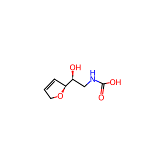 O=C(O)NC[C@H](O)[C@@H]1C=CCO1